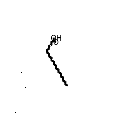 CCC=CCC=CCC=CCC=CCC=CC/C=C\CCCCC(=O)O